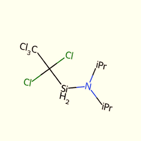 CC(C)N([SiH2]C(Cl)(Cl)C(Cl)(Cl)Cl)C(C)C